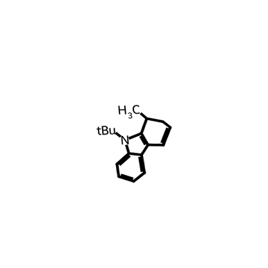 CC1CC=Cc2c1n(C(C)(C)C)c1ccccc21